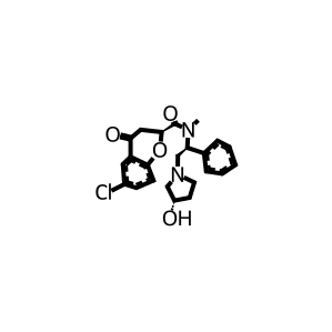 CN(C(=O)[C@@H]1CC(=O)c2cc(Cl)ccc2O1)[C@H](CN1CC[C@H](O)C1)c1ccccc1